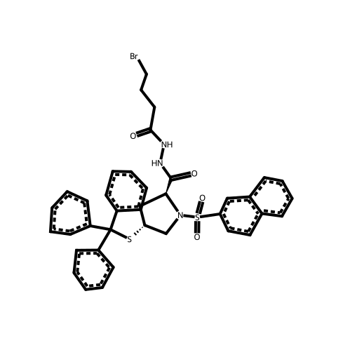 O=C(CCCBr)NNC(=O)[C@@H]1C[C@@H](SC(c2ccccc2)(c2ccccc2)c2ccccc2)CN1S(=O)(=O)c1ccc2ccccc2c1